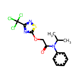 CC(C)N(C(=O)COc1nc(C(Cl)(Cl)Cl)ns1)c1ccccc1